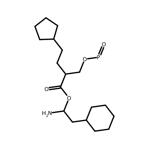 NC(CC1CCCCC1)OC(=O)C(CCC1CCCC1)COP=O